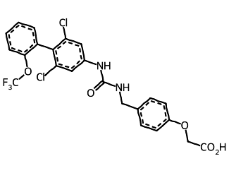 O=C(O)COc1ccc(CNC(=O)Nc2cc(Cl)c(-c3ccccc3OC(F)(F)F)c(Cl)c2)cc1